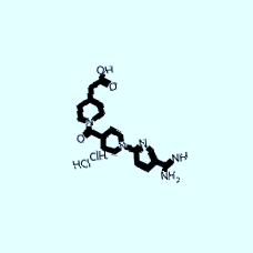 Cl.Cl.N=C(N)c1ccc(N2CCC(C(=O)N3CCC(CC(=O)O)CC3)CC2)nc1